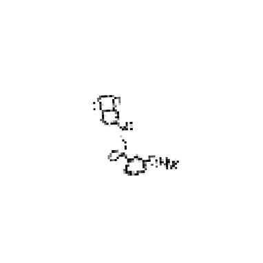 COc1cccc(C(=O)CCC(=O)c2ccc3c(c2)OCCO3)c1